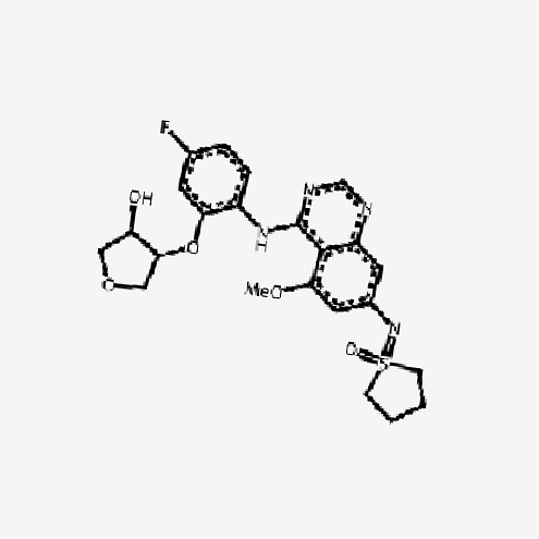 COc1cc(N=S2(=O)CCCC2)cc2ncnc(Nc3ccc(F)cc3O[C@H]3COC[C@H]3O)c12